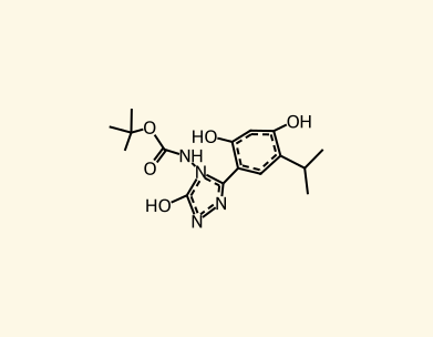 CC(C)c1cc(-c2nnc(O)n2NC(=O)OC(C)(C)C)c(O)cc1O